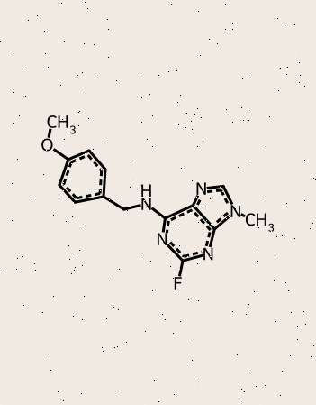 COc1ccc(CNc2nc(F)nc3c2ncn3C)cc1